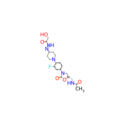 CC(=O)NC[C@H]1CN(c2ccc(N3CCC(=NNC(=O)CO)CC3)c(F)c2)C(=O)O1